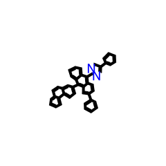 c1ccc(-c2cnc(-c3c4ccccc4c(-c4ccc5c(ccc6ccccc65)c4)c4cc(-c5ccccc5)ccc34)nc2)cc1